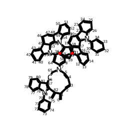 C=C1/C=C\C=C/N(c2cc(-n3c4ccccc4c4c3ccc3c5ccccc5n(-c5ccccc5)c34)cc(-n3c4ccccc4c4ccc5c6ccccc6n(-c6ccccc6)c5c43)c2)CCc2c(n(-c3ccccc3)c3ccccc23)C1=C